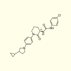 O=C(Nc1ccc(Cl)cc1)N[C@@H]1CCCN(c2ccc(N3CCC(C4CC4)C3)cc2)C1=O